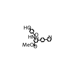 COC(=O)c1cc(NC(=O)c2ccc(O)cc2)nc(-c2ccc(-c3cccnc3)cc2)c1